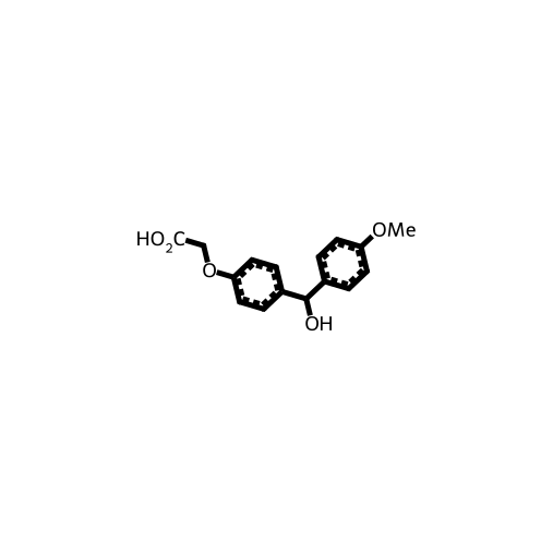 COc1ccc(C(O)c2ccc(OCC(=O)O)cc2)cc1